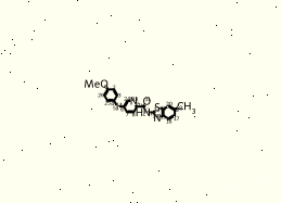 COc1ccc([I+]c2ccc(C(=O)Nc3nc4ccc(C)cc4s3)nc2)cc1